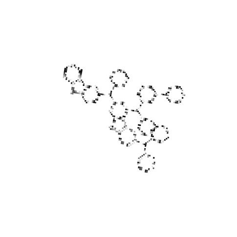 c1ccc(-c2cccc(N(c3ccccc3)c3cc(N(c4ccccc4)c4ccc5sc6ccccc6c5c4)cc4oc5ccc(N(c6ccccc6)c6ccccc6)cc5c34)c2)cc1